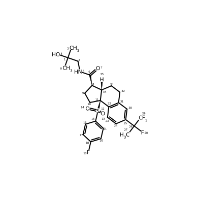 CC(C)(O)CNC(=O)[C@@H]1CC[C@@]2(S(=O)(=O)c3ccc(F)cc3)c3ccc(C(C)(F)C(F)(F)F)cc3CC[C@@H]12